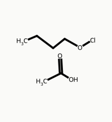 CC(=O)O.CCCCOCl